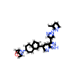 Cc1cccnc1-n1cc(-c2n[nH]c3ncc(-c4ccc5c(c4)CC[C@@H](N4C6COCC4C6)CC5)cc23)cn1